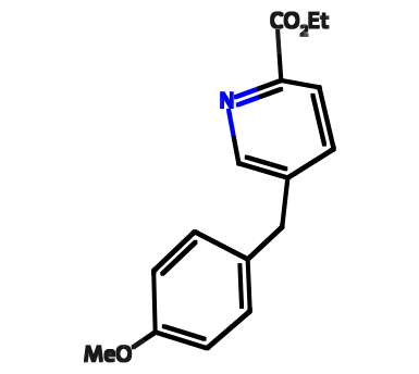 CCOC(=O)c1ccc(Cc2ccc(OC)cc2)cn1